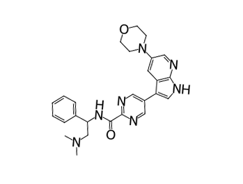 CN(C)CC(NC(=O)c1ncc(-c2c[nH]c3ncc(N4CCOCC4)cc23)cn1)c1ccccc1